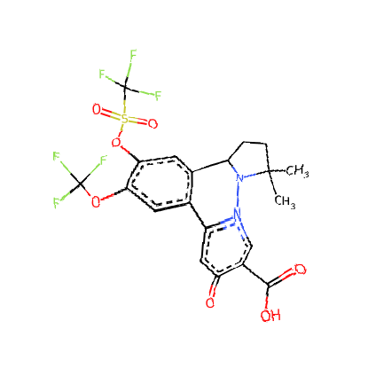 CC1(C)CCC2c3cc(OS(=O)(=O)C(F)(F)F)c(OC(F)(F)F)cc3-c3cc(=O)c(C(=O)O)cn3N21